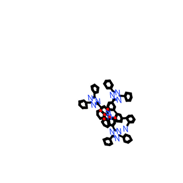 N#Cc1ccccc1-c1ccc(-n2c3ccccc3c3cc(-c4nc(-c5ccccc5)nc(-c5ccccc5)n4)ccc32)c(-c2cc(-c3nc(-c4ccccc4)nc(-c4ccccc4)n3)ccc2-n2c3ccccc3c3cc(-c4nc(-c5ccccc5)nc(-c5ccccc5)n4)ccc32)c1